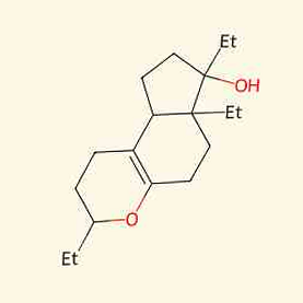 CCC1CCC2=C(CCC3(CC)C2CCC3(O)CC)O1